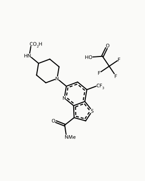 CNC(=O)c1csc2c(C(F)(F)F)cc(N3CCC(NC(=O)O)CC3)nc12.O=C(O)C(F)(F)F